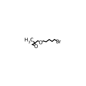 CC1(COCCCCCBr)CO1